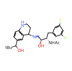 CC(=O)N[C@@H](Cc1cc(F)cc(F)c1)[C@@H](O)CNC1CCNc2ccc(C(O)C(C)(C)C)cc21